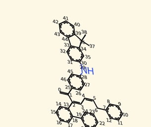 C=C(/C(=C\C=C/Cc1ccccc1)c1ccccc1-c1ccccc1)c1ccc(Nc2ccc3c(c2)C(C)(C)c2ccccc2-3)cc1